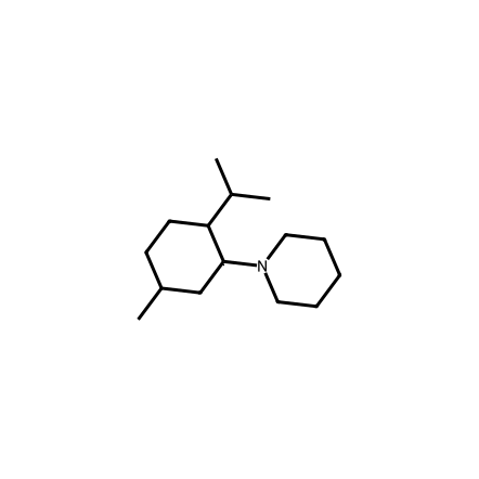 CC1CCC(C(C)C)[C](N2CCCCC2)C1